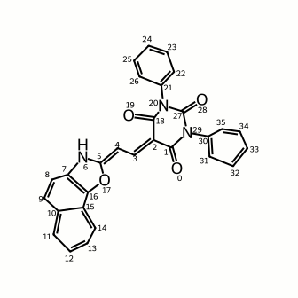 O=C1C(=CC=C2Nc3ccc4ccccc4c3O2)C(=O)N(c2ccccc2)C(=O)N1c1ccccc1